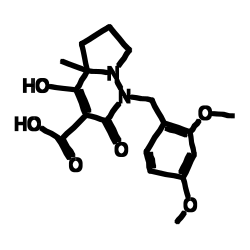 COc1ccc(CN2C(=O)C(C(=O)O)=C(O)C3(C)CCCN23)c(OC)c1